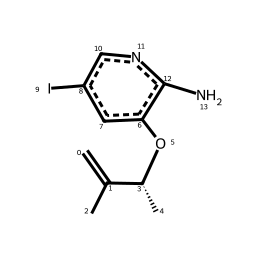 C=C(C)[C@@H](C)Oc1cc(I)cnc1N